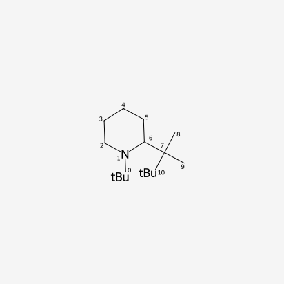 CC(C)(C)N1CCCCC1C(C)(C)C(C)(C)C